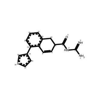 N=C(N)NC(=O)C1C=Cc2c(cccc2-c2ccsc2)C1